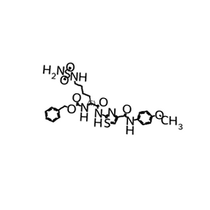 COc1ccc(NC(=O)c2csc(NC(=O)[C@H](CCCCNS(N)(=O)=O)NC(=O)OCc3ccccc3)n2)cc1